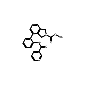 CC(C)(C)OC(=O)N1Cc2cccc(-c3ccccc3NC(=O)c3cccnc3)c2C1